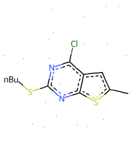 CCCCSc1nc(Cl)c2cc(C)sc2n1